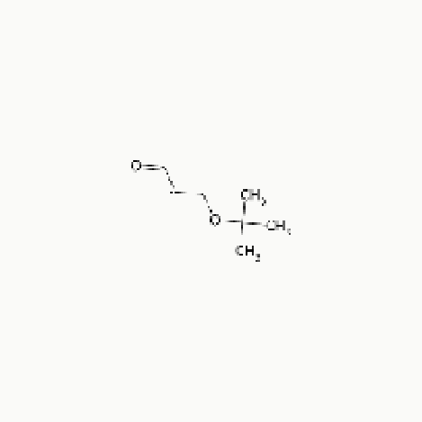 CC(C)(C)OC[CH]C=O